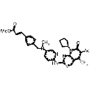 COC(=O)/C=C/c1ccc(CN(C)c2ccc(Nc3ncc4c(C)c(C(C)=O)c(=O)n(C5CCCC5)c4n3)nc2)cc1